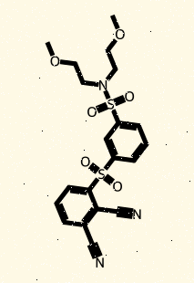 COCCN(CCOC)S(=O)(=O)c1cccc(S(=O)(=O)c2cccc(C#N)c2C#N)c1